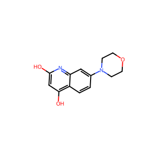 Oc1cc(O)c2ccc(N3CCOCC3)cc2n1